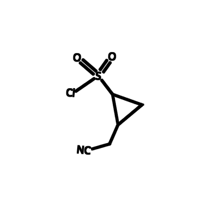 N#CCC1CC1S(=O)(=O)Cl